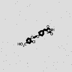 O=C1NC(=O)C(=Cc2ccc(OCCOc3ccc(C(=O)O)cc3Cl)cc2)S1